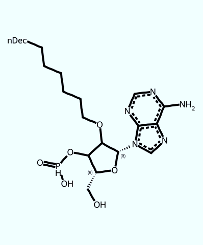 CCCCCCCCCCCCCCCCOC1C(O[PH](=O)O)[C@@H](CO)O[C@H]1n1cnc2c(N)ncnc21